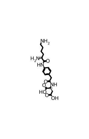 NCCCC[C@H](N)C(=O)Nc1ccc(CC(=O)N[C@@H](CC(=O)O)C(=O)O)cc1